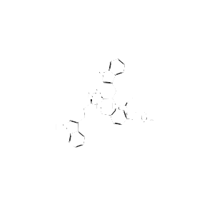 COc1ccc(Cn2c(CCc3c[nH]c4ccccc34)nnc2C(Cc2c[nH]c3ccccc23)NC(=O)OC(C)(C)C)cc1